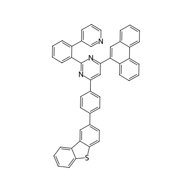 c1cncc(-c2ccccc2-c2nc(-c3ccc(-c4ccc5sc6ccccc6c5c4)cc3)cc(-c3cc4ccccc4c4ccccc34)n2)c1